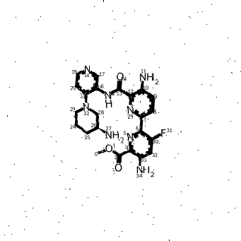 COC(=O)c1nc(-c2ccc(N)c(C(=O)Nc3cnccc3N3CCC[C@H](N)C3)n2)c(F)cc1N